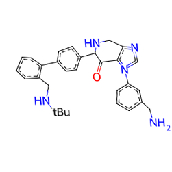 CC(C)(C)NCc1ccccc1-c1ccc(C2NCc3ncn(-c4cccc(CN)c4)c3C2=O)cc1